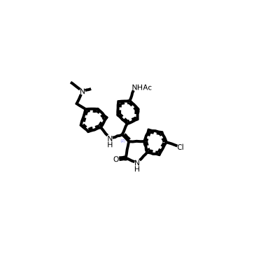 CC(=O)Nc1ccc(/C(Nc2ccc(CN(C)C)cc2)=C2/C(=O)Nc3cc(Cl)ccc32)cc1